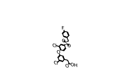 O=C(O)Cc1cc(Cl)cc(Oc2ccc(S(=O)(=O)Cc3ccc(F)cc3)cc2Cl)c1